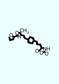 Cc1oc(-c2ccco2)nc1C=Cc1ccc(C=CC=C2NC(=O)OC2=O)cc1